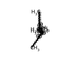 CCCCCCCCCCCC(=O)OCCN1C(=O)NC2(CC(C)(C)N(CCOC(=O)CCCCCCCCCCC)C(C)(C)C2)C1=O